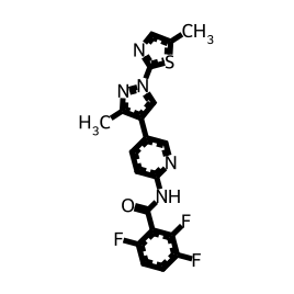 Cc1cnc(-n2cc(-c3ccc(NC(=O)c4c(F)ccc(F)c4F)nc3)c(C)n2)s1